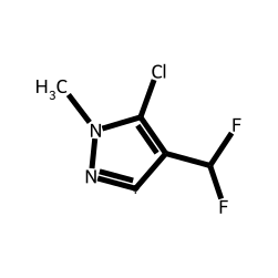 Cn1n[c]c(C(F)F)c1Cl